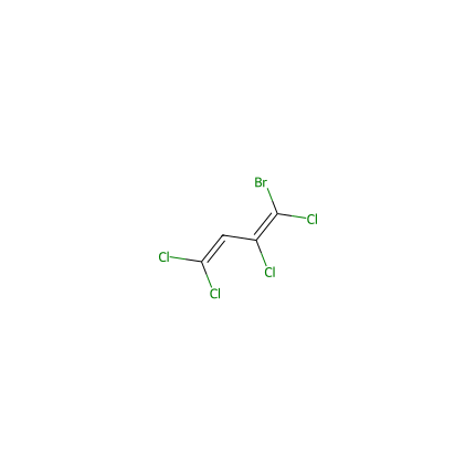 ClC(Cl)=C/C(Cl)=C(/Cl)Br